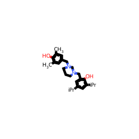 Cc1cc(CN2CCCN(Cc3cc(C(C)C)cc(C(C)C)c3O)C2)cc(C)c1O